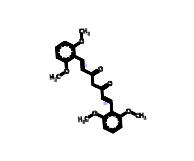 COc1cccc(OC)c1/C=C/C(=O)CC(=O)/C=C/c1c(OC)cccc1OC